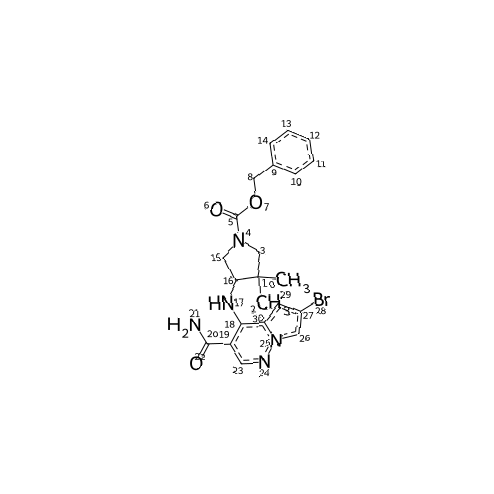 CC1(C)CN(C(=O)OCc2ccccc2)CC1Nc1c(C(N)=O)cnn2cc(Br)cc12